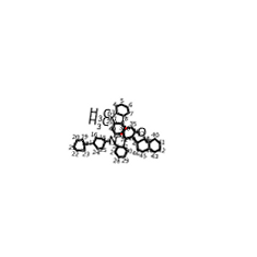 CC1(C)c2ccccc2-c2ccc(N(c3ccc(-c4ccccc4)cc3)c3ccccc3-c3cccc4oc5c6ccccc6ccc5c34)cc21